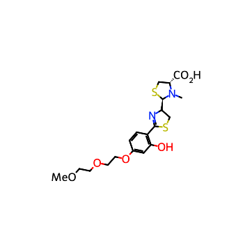 COCCOCCOc1ccc(C2=NC([C@H]3SC[C@H](C(=O)O)N3C)CS2)c(O)c1